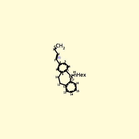 C=C/C=C/c1ccc2c(c1)CCc1ccccc1N2CCCCCC